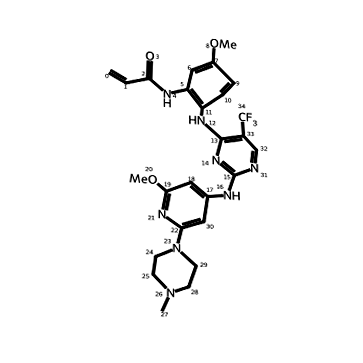 C=CC(=O)Nc1cc(OC)ccc1Nc1nc(Nc2cc(OC)nc(N3CCN(C)CC3)c2)ncc1C(F)(F)F